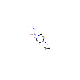 CCC(C)(CC)NC1CCN(C(=O)CN)CC1